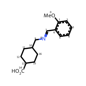 COc1ccccc1C=NCC1CCC(C(=O)O)CC1